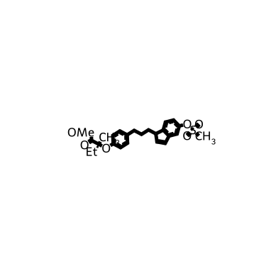 CC[C@@](C)(Oc1ccc(CCCC2C=Cc3cc(OS(C)(=O)=O)ccc32)cc1)C(=O)OC